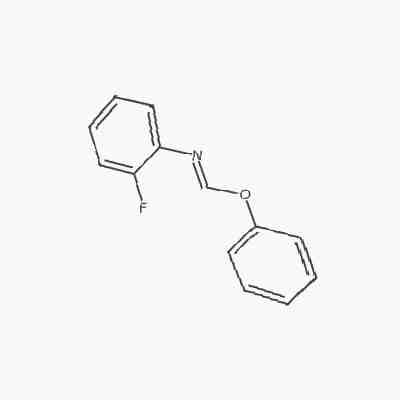 Fc1ccccc1N=COc1ccccc1